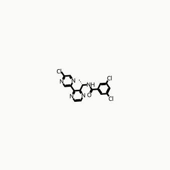 C[C@H](NC(=O)c1cc(Cl)cc(Cl)c1)c1nccnc1-c1cnc(Cl)cn1